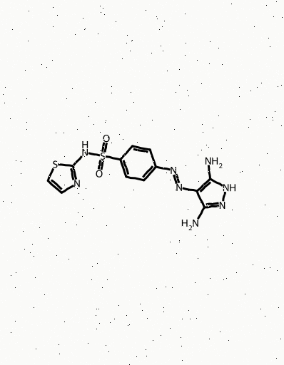 Nc1n[nH]c(N)c1/N=N/c1ccc(S(=O)(=O)Nc2nccs2)cc1